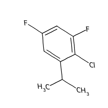 CC(C)c1cc(F)cc(F)c1Cl